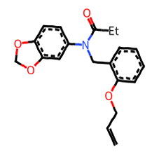 C=CCOc1ccccc1CN(C(=O)CC)c1ccc2c(c1)OCO2